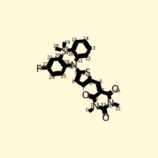 CN1C(=O)C(=Cc2ccc(N3c4ccccc4[Si](C)(C)c4cc(F)ccc43)s2)C(=O)N(C)C1=O